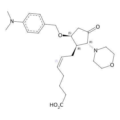 CN(C)c1ccc(CO[C@H]2CC(=O)[C@H](N3CCOCC3)[C@H]2C/C=C\CCCC(=O)O)cc1